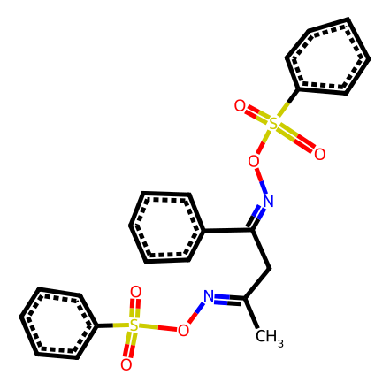 CC(CC(=NOS(=O)(=O)c1ccccc1)c1ccccc1)=NOS(=O)(=O)c1ccccc1